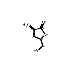 C=C1CC(CC(C)C)OC1=O